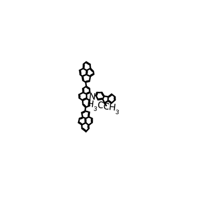 CC1(C)c2ccccc2-c2ccc(N3c4cc(-c5cc6ccc7cccc8ccc(c5)c6c78)cc5ccc6c(c45)C3CC(c3cc4ccc5cccc7ccc(c3)c4c57)=C6)cc21